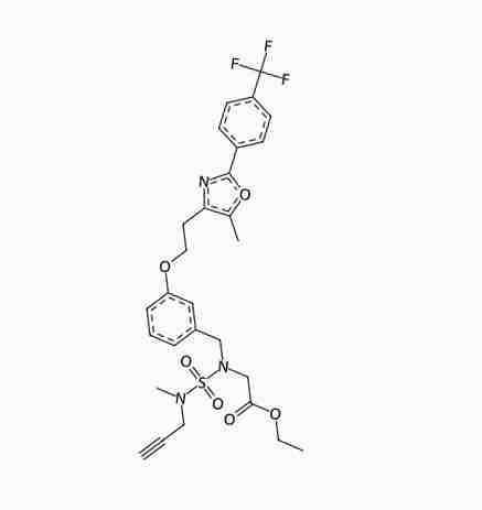 C#CCN(C)S(=O)(=O)N(CC(=O)OCC)Cc1cccc(OCCc2nc(-c3ccc(C(F)(F)F)cc3)oc2C)c1